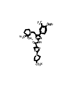 CCCOc1ccc(-c2nc(NC(=O)c3cnc(N4CCC(C(=O)O)CC4)cn3)sc2CN2CCCC(C)(C)C2)cc1C(F)(F)F